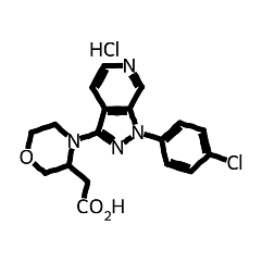 Cl.O=C(O)CC1COCCN1c1nn(-c2ccc(Cl)cc2)c2cnccc12